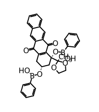 CC1([C@@]2(OB(O)c3ccccc3)C[C@H](OB(O)c3ccccc3)CC3=C2C(=O)c2cc4ccccc4cc2C3=O)OCCO1